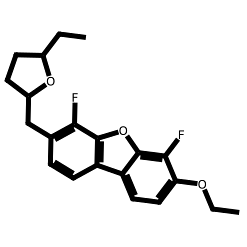 CCOc1ccc2c(oc3c(F)c(CC4CCC(CC)O4)ccc32)c1F